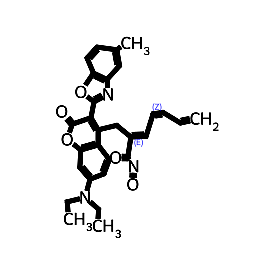 C=C/C=C\C=C(/Cc1c(-c2nc3cc(C)ccc3o2)c(=O)oc2cc(N(CC)CC)ccc12)C(=O)N=O